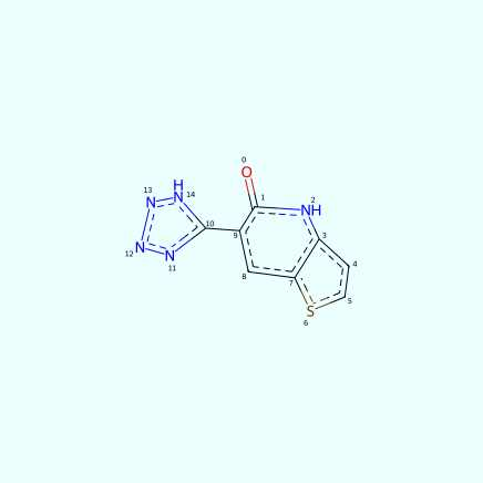 O=c1[nH]c2ccsc2cc1-c1nnn[nH]1